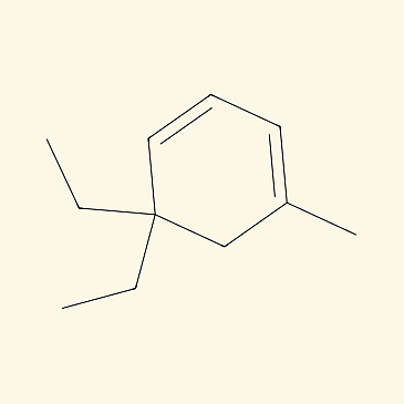 CCC1(CC)C=CC=C(C)C1